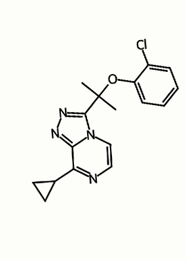 CC(C)(Oc1ccccc1Cl)c1nnc2c(C3CC3)nccn12